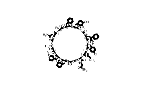 CCCC[C@H]1C(=O)N(C)CC(=O)N[C@@H](CC(N)=O)C(=O)N[C@@H](C(C)C)C(=O)N(C)[C@@H](Cc2ccccc2)C(=O)N[C@@H](Cc2ccc(O)cc2)C(=O)N(C)CC(=O)N[C@@H](Cc2c[nH]c3ccccc23)C(=O)N[C@@H](Cc2ccc(O)cc2)C(=O)N[C@@H](CCCN)C(=O)N[C@H](C(=O)NCC(N)=O)CSCC(=O)N[C@@H](Cc2ccccc2)C(=O)N(C)[C@@H](Cc2ccncc2)C(=O)N1C